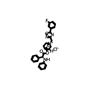 O=C(O[C@H]1C[N+]2(Cc3noc(-c4cccc(F)c4)n3)CCC1CC2)[C@H](Nc1ccccc1)c1ccccc1.[Cl-]